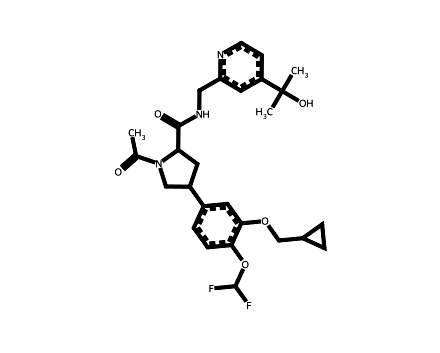 CC(=O)N1CC(c2ccc(OC(F)F)c(OCC3CC3)c2)CC1C(=O)NCc1cc(C(C)(C)O)ccn1